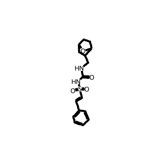 O=C(NCC1CC2CCC1O2)NS(=O)(=O)/C=C/c1ccccc1